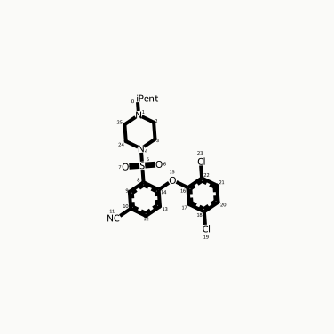 CCCC(C)N1CCN(S(=O)(=O)c2cc(C#N)ccc2Oc2cc(Cl)ccc2Cl)CC1